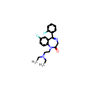 CCN(CC)CCN1C(=O)CN=C(c2ccccc2F)c2cc(F)ccc21